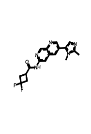 Cc1ncc(-c2cnc3cnc(NC(=O)C4CC(F)(F)C4)cc3c2)n1C